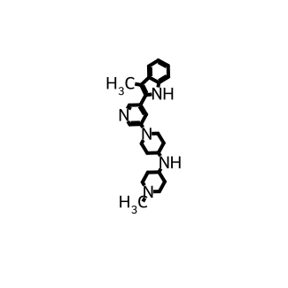 Cc1c(-c2cncc(N3CCC(NC4CCN(C)CC4)CC3)c2)[nH]c2ccccc12